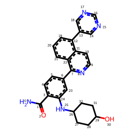 NC(=O)c1ccc(-c2nccc3c(-c4cncnc4)cccc23)cc1NC1CCC(O)CC1